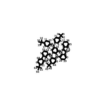 CC(C)(C)c1ccc(N(c2ccc(C(C)(C)C)cc2)c2cc3c4c(c2)-n2c5c(cccc5c5oc6ccccc6c52)B4c2ccc(C(C)(C)C)cc2N3c2cccc3c2oc2cc(C(C)(C)C)ccc23)cc1